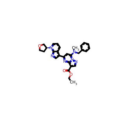 CCOC(=O)c1cnn2c(N(C)Cc3ccccc3)cc(-c3cnc4n([C@H]5CCOC5)cccc3-4)nc12